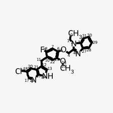 CCn1c(COc2cc(F)c(Cc3c[nH]c4ncc(Cl)cc34)cc2OC)nc2ccccc21